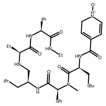 CCC[C@@H](C(=O)N[C@H](CN[C@@H](CC)C(=O)N[C@H](C(=O)NCC)C(C)C)CC(C)C)N(C)C(=O)[C@H](CC(C)(C)C)NC(=O)C1=CC[NH+]([O-])C=C1